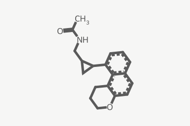 CC(=O)NCC1CC1c1cccc2ccc3c(c12)CCCO3